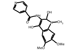 COc1cc2c(cc1OC)N(C)C(O)C(NC(=O)c1ccncc1)=C2O